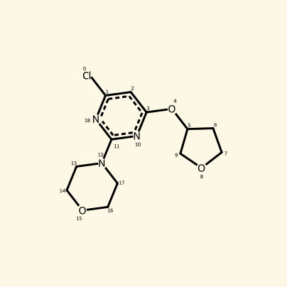 Clc1cc(OC2CCOC2)nc(N2CCOCC2)n1